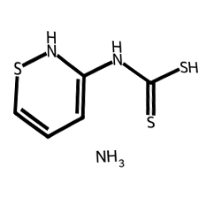 N.S=C(S)NC1=CC=CSN1